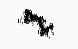 CCOCc1nc2c(NC(=O)CNC(=O)[C@H](Cc3ccccc3)NC(=O)CNC(=O)CNC(=O)OC(C)(C)C)nc3ccccc3c2n1CC(C)(C)OCCNC(=O)C(C)(C)NC(=O)OCc1ccc(NC(=O)[C@H](CCCNC(N)=O)NC(=O)[C@@H](NC(=O)CCCCCN2C(=O)C=CC2=O)C(C)C)cc1